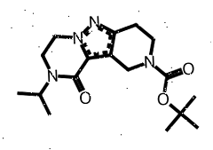 CC(C)N1CCn2nc3c(c2C1=O)CN(C(=O)OC(C)(C)C)CC3